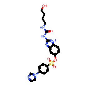 O=C(NCCCCO)Nc1nc2cc(OS(=O)(=O)c3ccc(-n4ccnc4)cc3)ccc2[nH]1